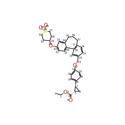 CCOC(=O)[C@H]1C[C@@H]1c1ccc(OCc2ccc3c(c2)-c2ccc(OC4CCS(=O)(=O)CC4)cc2CCC3)cc1